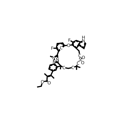 CCOC(=O)/C(C)=C(\C)c1cccc(C2(C)CCCC(C)(C)CS(=O)(=O)CCc3c(c(F)cc4[nH]ccc34)Oc3ccc(F)c(c3)-c3nc2nn3C)c1